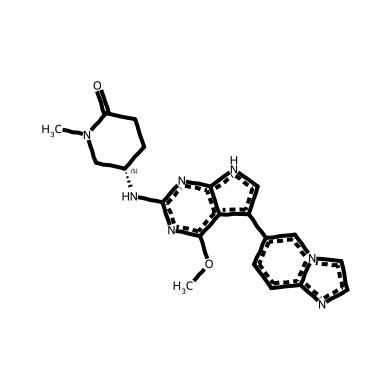 COc1nc(N[C@H]2CCC(=O)N(C)C2)nc2[nH]cc(-c3ccc4nccn4c3)c12